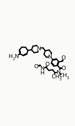 CC(CCC(=O)NC=O)N(C)C(=O)c1ccc(N2CCC(CN3CCC(C4C=CC(N)=CCC4)CC3)CC2)cc1C=O